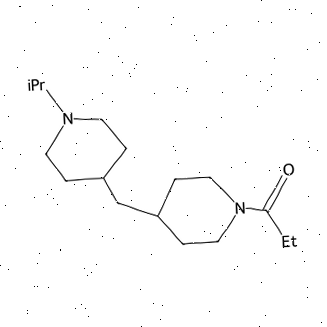 CCC(=O)N1CCC(CC2CCN(C(C)C)CC2)CC1